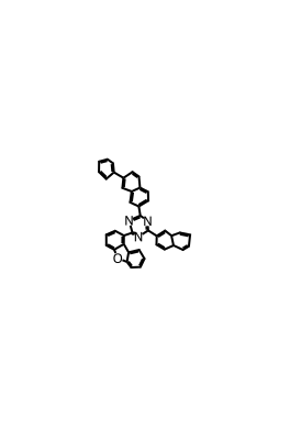 C1=CC2C=CC(c3nc(-c4ccc5ccc(-c6ccccc6)cc5c4)nc(-c4cccc5oc6ccccc6c45)n3)=CC2C=C1